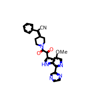 COc1cnc(-c2cnccn2)c2[nH]cc(C(=O)C(=O)N3CCC(=C(C#N)c4ccccc4)CC3)c12